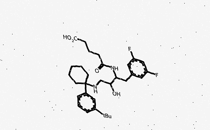 CC(C)(C)c1cccc(C2(NCC(O)C(Cc3cc(F)cc(F)c3)NC(=O)CCCC(=O)O)CCCCC2)c1